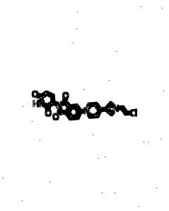 O=C1CCC(N2C(=O)c3ccc(N4CCC(C5CN(CCCl)C5)CC4)cc3C2=O)C(=O)N1